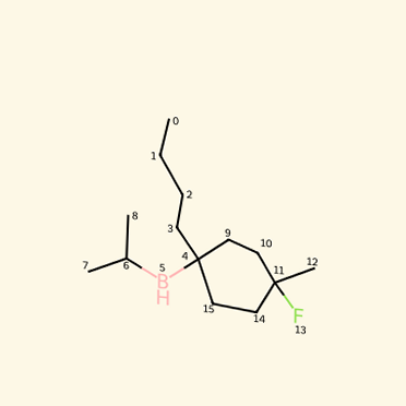 CCCCC1(BC(C)C)CCC(C)(F)CC1